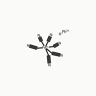 N#[C][Fe-3]([C]#N)([C]#N)([C]#N)([C]#N)[C]#N.[K+].[Pb+2]